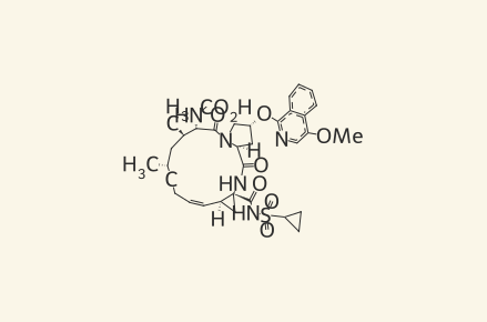 COc1cnc(O[C@@H]2C[C@H]3C(=O)N[C@]4(C(=O)NS(=O)(=O)C5CC5)C[C@H]4C=CCC[C@H](C)C[C@@H](C)[C@H](NC(=O)O)C(=O)N3C2)c2ccccc12